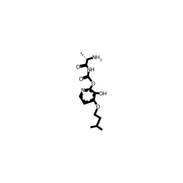 CC(C)CCOc1ccnc(OC(=O)NC(=O)[C@H](C)N)c1O